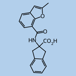 Cc1cc2cccc(C(=O)NC3(C(=O)O)Cc4ccccc4C3)c2o1